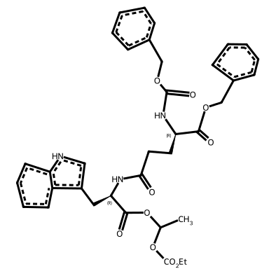 CCOC(=O)OC(C)OC(=O)[C@@H](Cc1c[nH]c2ccccc12)NC(=O)CC[C@@H](NC(=O)OCc1ccccc1)C(=O)OCc1ccccc1